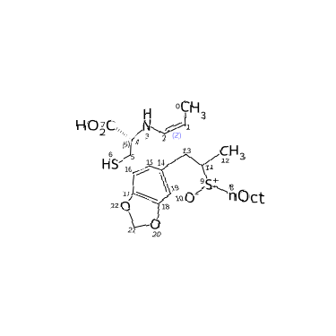 C/C=C\N[C@H](CS)C(=O)O.CCCCCCCC[S+]([O-])C(C)Cc1ccc2c(c1)OCO2